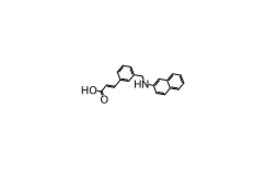 O=C(O)C=Cc1cccc(CNc2ccc3ccccc3c2)c1